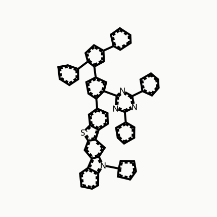 c1ccc(-c2ccc(-c3ccccc3)c(-c3ccc(-c4ccc5c(c4)sc4cc6c7ccccc7n(-c7ccccc7)c6cc45)c(-c4nc(-c5ccccc5)nc(-c5ccccc5)n4)c3)c2)cc1